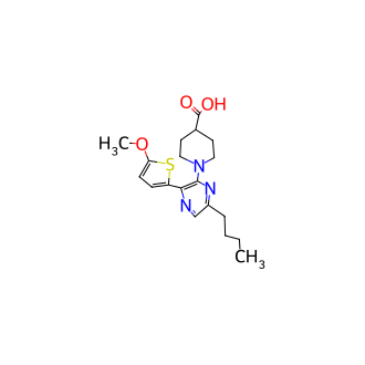 CCCCc1cnc(-c2ccc(OC)s2)c(N2CCC(C(=O)O)CC2)n1